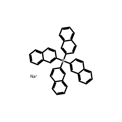 [Na+].c1ccc2cc([B-](c3ccc4ccccc4c3)(c3ccc4ccccc4c3)c3ccc4ccccc4c3)ccc2c1